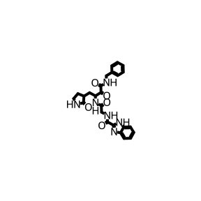 O=C(CNC(=O)c1nc2ccccc2[nH]1)NC(CC1CCNC1=O)C(=O)C(=O)NCc1ccccc1